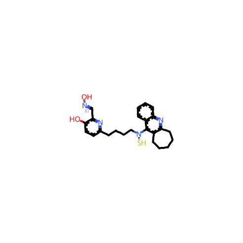 O/N=C/c1nc(CCCCN(S)c2c3c(nc4ccccc24)CCCCC3)ccc1O